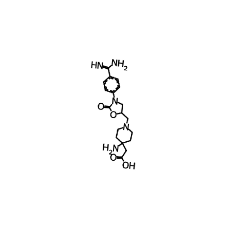 N=C(N)c1ccc(N2CC(CN3CCC(N)(CC(=O)O)CC3)OC2=O)cc1